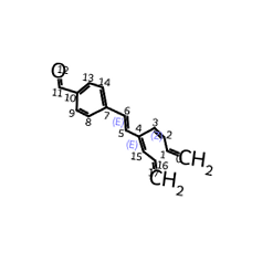 C=C\C=C/C(/C=C/c1ccc(C=O)cc1)=C\C=C